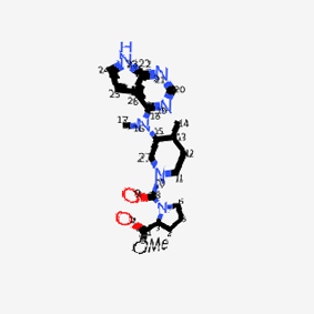 COC(=O)C1CCCN1C(=O)N1CCC(C)C(N(C)c2ncnc3[nH]ccc23)C1